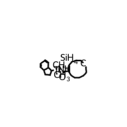 [CH3][Ti]([CH3])([NH]C(=O)C1CCCCCCCCCCC1)[CH]1CCC2C=CC=CC21.[SiH4]